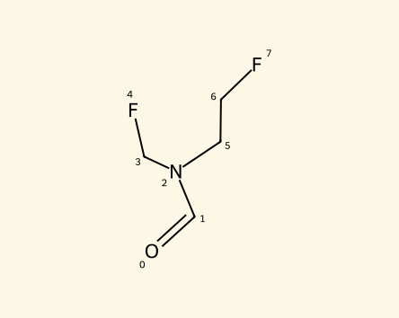 O=CN(CF)CCF